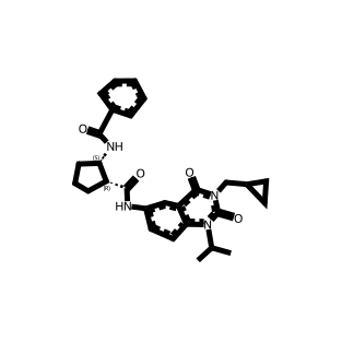 CC(C)n1c(=O)n(CC2CC2)c(=O)c2cc(NC(=O)[C@@H]3CCC[C@@H]3NC(=O)c3ccccc3)ccc21